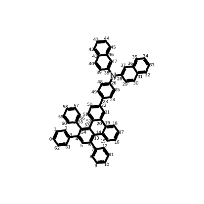 c1ccc(-c2cc(-c3ccccc3)c3c4ccccc4c4cc(-c5ccc(N(c6ccc7ccccc7c6)c6ccc7ccccc7c6)cc5)ccc4c3c2-c2ccccc2)cc1